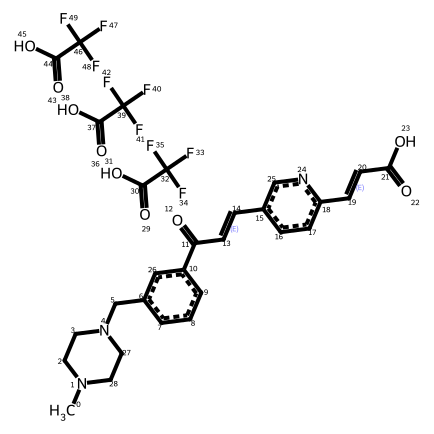 CN1CCN(Cc2cccc(C(=O)/C=C/c3ccc(/C=C/C(=O)O)nc3)c2)CC1.O=C(O)C(F)(F)F.O=C(O)C(F)(F)F.O=C(O)C(F)(F)F